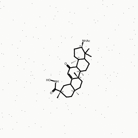 CC(=O)N[C@@H]1CC[C@@]2(C)C(CC[C@]3(C)C2C(=O)C=C2C4C[C@@](C)(C(=O)NO)CC[C@]4(C)CC[C@]23C)C1(C)C